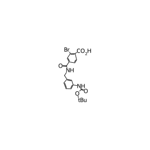 CC(C)(C)OC(=O)Nc1cccc(CNC(=O)c2ccc(C(=O)O)c(Br)c2)c1